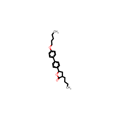 CCCCCOc1ccc(-c2ccc(C3CC(CCCC)C(=O)O3)cc2)cc1